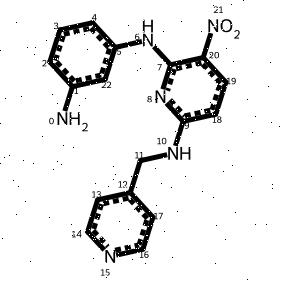 Nc1cccc(Nc2nc(NCc3ccncc3)ccc2[N+](=O)[O-])c1